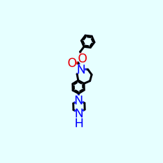 O=C(OCc1ccccc1)N1CCCc2cc(N3CCNCC3)ccc2C1